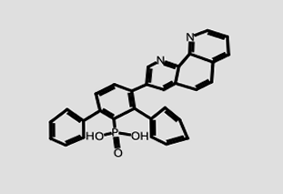 O=P(O)(O)c1c(-c2ccccc2)ccc(-c2cnc3c(ccc4cccnc43)c2)c1-c1ccccc1